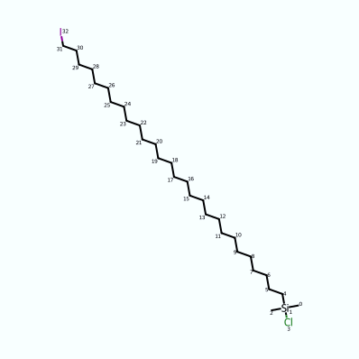 C[Si](C)(Cl)CCCCCCCCCCCCCCCCCCCCCCCCCCCCI